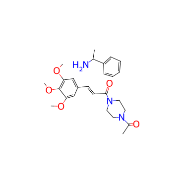 CC(N)c1ccccc1.COc1cc(C=CC(=O)N2CCN(C(C)=O)CC2)cc(OC)c1OC